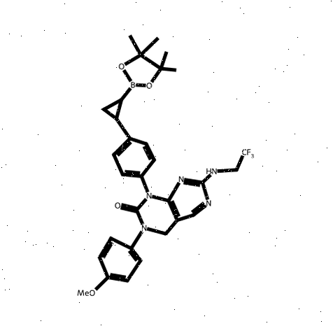 COc1ccc(N2Cc3cnc(NCC(F)(F)F)nc3N(c3ccc(C4CC4B4OC(C)(C)C(C)(C)O4)cc3)C2=O)cc1